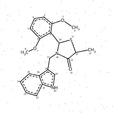 COc1cccc(OC)c1C1SC(C)C(=O)N1Cc1c[nH]c2ccccc12